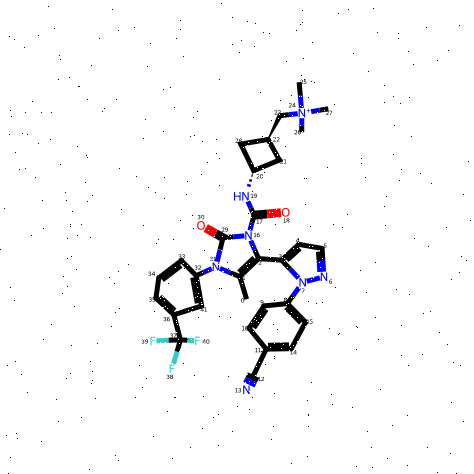 Cc1c(-c2ccnn2-c2ccc(C#N)cc2)n(C(=O)N[C@H]2C[C@H](C[N+](C)(C)C)C2)c(=O)n1-c1cccc(C(F)(F)F)c1